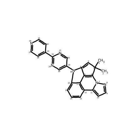 CC1(C)C=c2c3c1n1nccc1c1cccc(c31)n2-c1cnc(-c2ccncc2)nc1